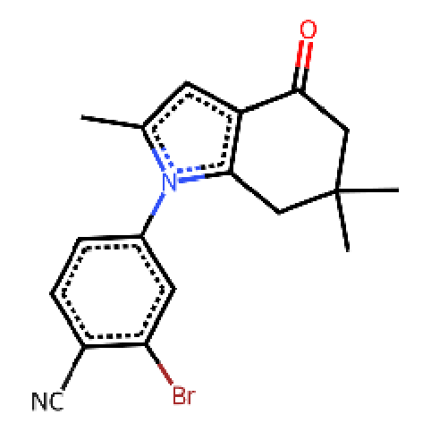 Cc1cc2c(n1-c1ccc(C#N)c(Br)c1)CC(C)(C)CC2=O